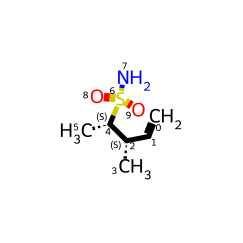 C=C[C@H](C)[C@H](C)S(N)(=O)=O